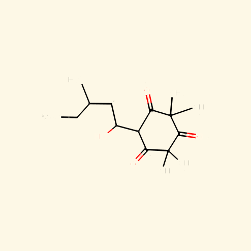 COCC(C)CC(O)C1C(=O)C(C)(C)C(=O)C(C)(C)C1=O